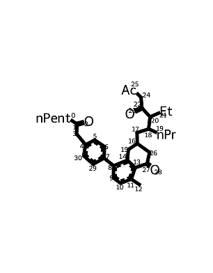 CCCCCC(=O)Cc1ccc(-c2ccc(C)c3c2CC(CC(CCC)C(CC)C(=O)CC(C)=O)CC3=O)cc1